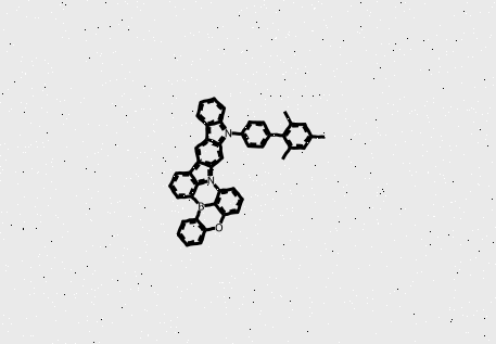 Cc1cc(C)c(-c2ccc(-n3c4ccccc4c4cc5c6cccc7c6n(c5cc43)-c3cccc4c3B7c3ccccc3O4)cc2)c(C)c1